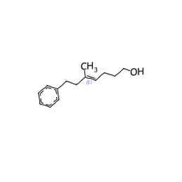 C/C(=C\CCCO)CCc1ccccc1